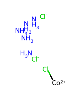 N.N.N.N.N.[Cl-].[Cl-].[Cl][Co+2]